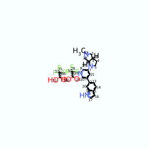 CN1C[C@@H]2CCN(c3cncc(-c4ccc5cc[nH]c5c4)c3)[C@@H]2C1.O=C(O)C(F)(F)F.O=C(O)C(F)(F)F